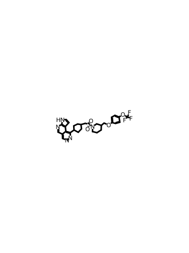 O=S(=O)(CC1CCC(c2nncc3cnc4[nH]ccc4c23)CC1)N1CCCC(COc2ccc(OC(F)(F)F)cc2)C1